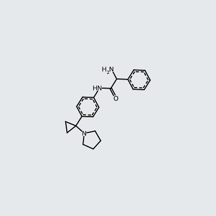 NC(C(=O)Nc1ccc(C2(N3CCCC3)CC2)cc1)c1ccccc1